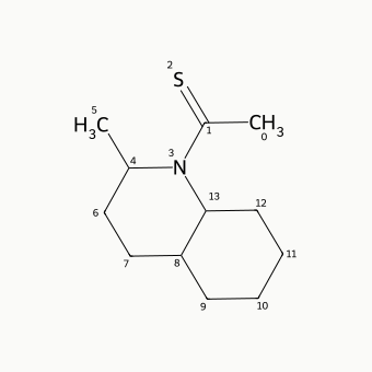 CC(=S)N1C(C)CCC2CCCCC21